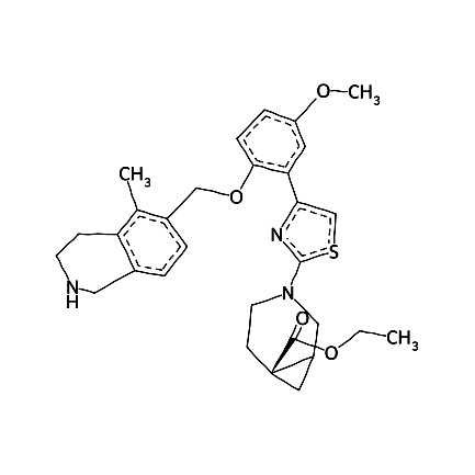 CCOC(=O)[C@@]12CCN(c3nc(-c4cc(OC)ccc4OCc4ccc5c(c4C)CCNC5)cs3)CC1C2